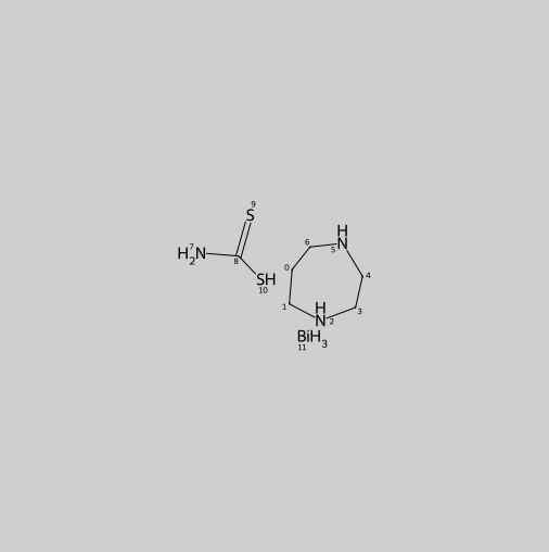 C1CNCCNC1.NC(=S)S.[BiH3]